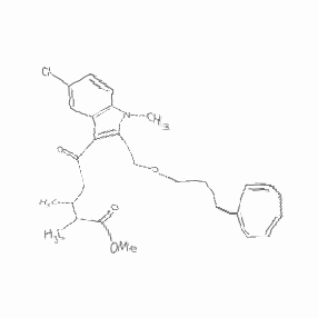 COC(=O)C(C)C(C)CC(=O)c1c(COCCCc2ccccc2)n(C)c2ccc(Cl)cc12